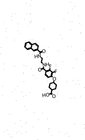 O=C(NCCNC(=O)c1ccc(OC2CCC(C(=O)O)CC2)c(F)c1F)c1ccc2ccccc2c1